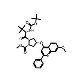 COC(=O)[C@@H]1C[C@@H](Oc2cc(-c3ccccc3)nc3cc(OC)ccc23)CN1C(=O)[C@@H](NC(=O)OC(C)(C)C)C(C)(C)C